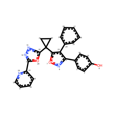 Oc1ccc(-c2noc(C3(c4nnc(-c5ccccn5)o4)CC3)c2-c2ccccc2)cc1